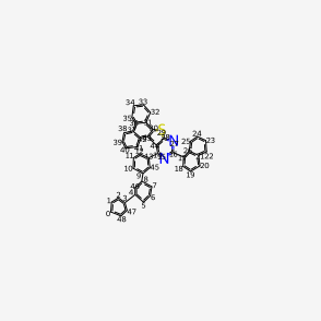 c1ccc(-c2cccc(-c3cccc(-c4nc(-c5cccc6ccccc56)nc5sc6c7ccccc7c7ccccc7c6c45)c3)c2)cc1